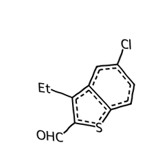 CCc1c(C=O)sc2ccc(Cl)cc12